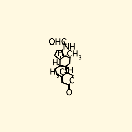 C[C@]12CC[C@H]3[C@@H](CCC4=CC(=O)CC[C@@]43C)[C@@H]1CC[C@@H]2NC=O